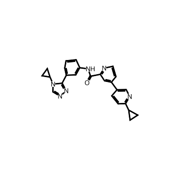 O=C(Nc1cccc(-c2nncn2C2CC2)c1)c1cc(-c2ccc(C3CC3)nc2)ccn1